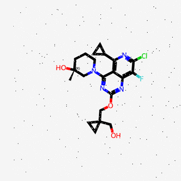 C[C@@]1(O)CCCN(c2nc(OCC3(CO)CC3)nc3c(F)c(Cl)nc(C4CC4)c23)C1